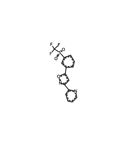 O=S(=O)(c1cccc(-c2cc(-c3ccccn3)no2)c1)C(F)(F)F